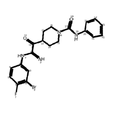 N=C(Nc1ccc(F)c(Br)c1)C(=O)C1CCN(C(=O)Nc2ccccc2)CC1